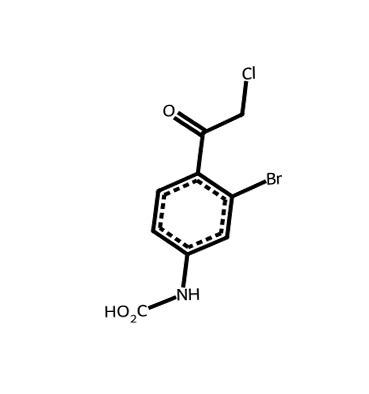 O=C(O)Nc1ccc(C(=O)CCl)c(Br)c1